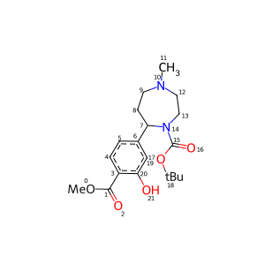 COC(=O)c1ccc(C2CCN(C)CCN2C(=O)OC(C)(C)C)cc1O